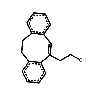 OCCC1=Cc2ccccc2CCc2ccccc21